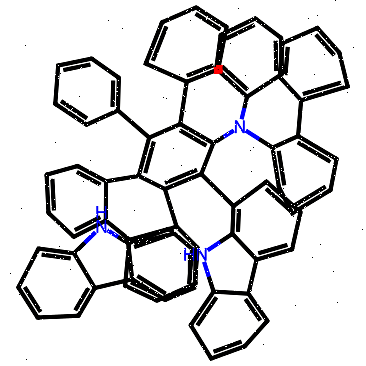 c1ccc(-c2ccccc2-c2c(-c3ccccc3)c(-c3ccccc3)c(N(c3ccccc3)c3ccccc3-c3ccccc3)c(-c3cccc4c3[nH]c3ccccc34)c2-c2cccc3c2[nH]c2ccccc23)cc1